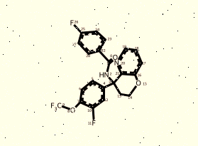 O=C(NC1(c2ccc(OC(F)(F)F)c(F)c2)CCOc2cccnc21)c1ccc(F)cc1